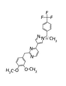 COc1ccc(Cc2nccc(-c3cnn([C@@H](C)c4ccc(C(F)(F)F)cc4)c3)n2)cc1OC